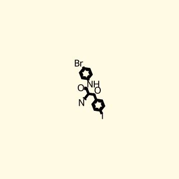 N#CC(C(=O)Nc1ccc(Br)cc1)C(=O)c1ccc(I)cc1